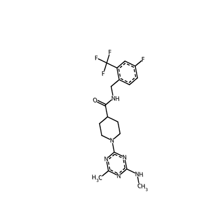 CNc1nc(C)nc(N2CCC(C(=O)NCc3ccc(F)cc3C(F)(F)F)CC2)n1